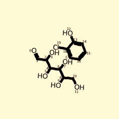 O=CC(O)C(O)C(O)C(O)CO.Oc1ccccc1Cl